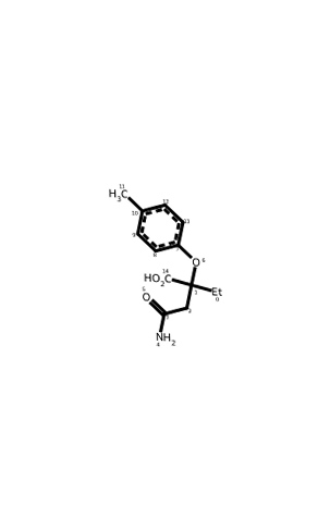 CCC(CC(N)=O)(Oc1ccc(C)cc1)C(=O)O